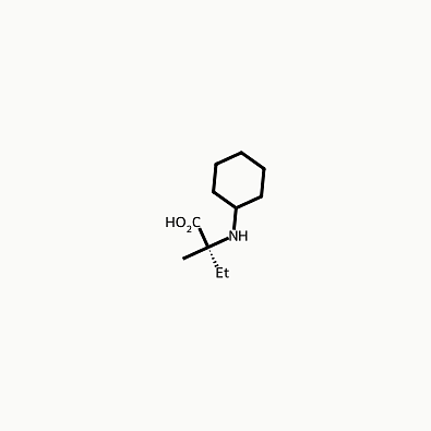 CC[C@@](C)(NC1CCCCC1)C(=O)O